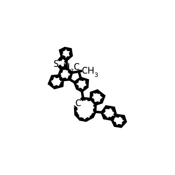 CC1(C)c2ccc(-c3ccccccc(-c4ccc5ccccc5c4)c4ccccc34)cc2-c2c1c1c3ccccc3sc1c1ccccc21